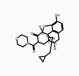 O=C1C(C(=O)N2CCOCC2)C[C@@]2(O)[C@H]3Cc4ccc(O)c5c4[C@@]2(CCN3CC2CC2)[C@H]1O5